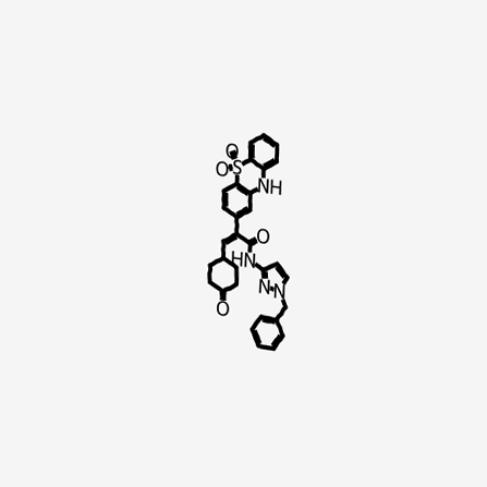 O=C1CCC(C=C(C(=O)Nc2ccn(Cc3ccccc3)n2)c2ccc3c(c2)Nc2ccccc2S3(=O)=O)CC1